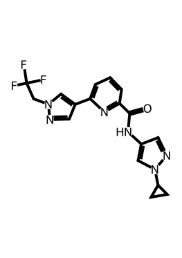 O=C(Nc1cnn(C2CC2)c1)c1cccc(-c2cnn(CC(F)(F)F)c2)n1